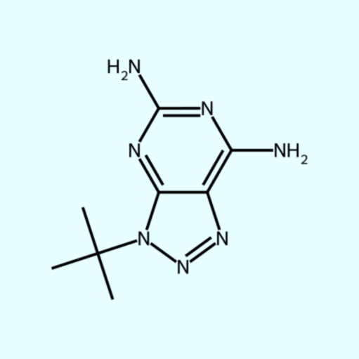 CC(C)(C)n1nnc2c(N)nc(N)nc21